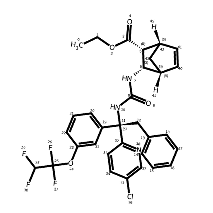 CCOC(=O)[C@H]1[C@@H](NC(=O)N[C@@](Cc2ccccc2)(c2cccc(OC(F)(F)C(F)F)c2)c2ccc(Cl)cn2)[C@H]2C=C[C@@H]1C2